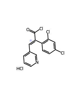 Cl.O=C(Cl)/C(=C/c1cccnc1)c1ccc(Cl)cc1Cl